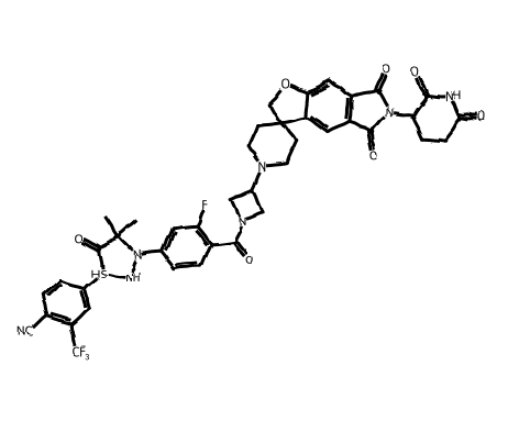 CC1(C)C(=O)[SH](c2ccc(C#N)c(C(F)(F)F)c2)NN1c1ccc(C(=O)N2CC(N3CCC4(CC3)COc3cc5c(cc34)C(=O)N(C3CCC(=O)NC3=O)C5=O)C2)c(F)c1